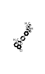 COC(=O)NS(=O)(=O)c1ccc(N2CCN(C(=O)[C@@H](C)N3CCCc4cc(Cl)ccc43)CC2)cc1